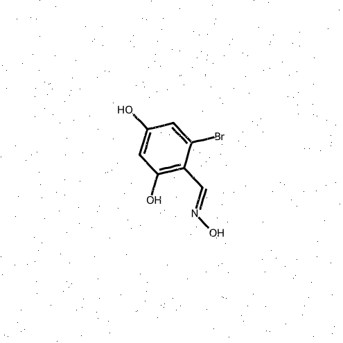 ON=Cc1c(O)cc(O)cc1Br